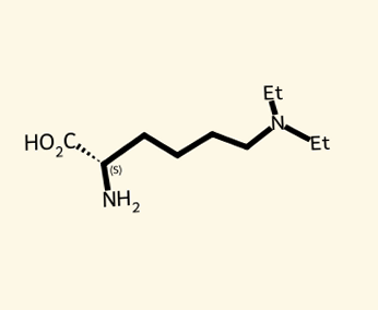 CCN(CC)CCCC[C@H](N)C(=O)O